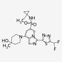 CC1(O)CCN(c2cc(S(=O)(=O)NC3(C)CC3)cn3c(-c4nnc(C(F)F)s4)ncc23)CC1